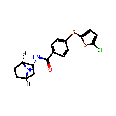 O=C(N[C@@H]1C[C@H]2CC[C@@H]1N2)c1ccc(Sc2ccc(Cl)s2)cc1